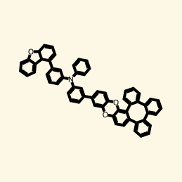 C1=CC2Oc3ccccc3C2C(c2cccc(N(c3ccccc3)c3cccc(-c4ccc5oc6c(ccc7c8ccccc8c8ccccc8c8ccccc8c76)oc5c4)c3)c2)=C1